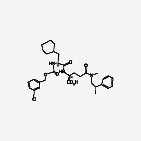 CC(CN(C)C(=O)CC[C@H](NC(=O)[C@H](CC1CCCCC1)NC(=O)OCc1cccc(Cl)c1)C(=O)O)c1ccccc1